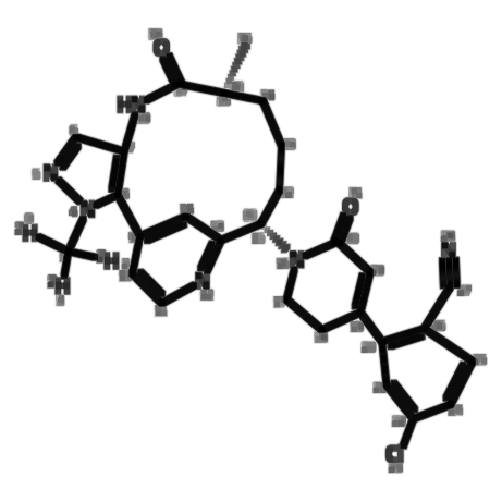 [2H]C([2H])([2H])n1ncc2c1-c1ccnc(c1)[C@@H](N1CCC(c3cc(Cl)ccc3C#N)=CC1=O)CCC[C@@H](C)C(=O)N2